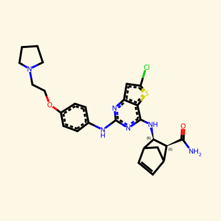 NC(=O)[C@H]1C2C=CC(C2)[C@H]1Nc1nc(Nc2ccc(OCCN3CCCC3)cc2)nc2cc(Cl)sc12